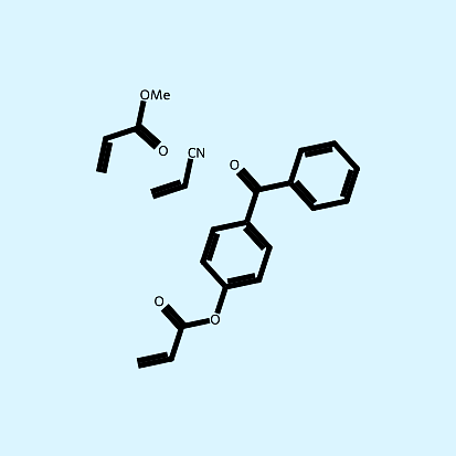 C=CC#N.C=CC(=O)OC.C=CC(=O)Oc1ccc(C(=O)c2ccccc2)cc1